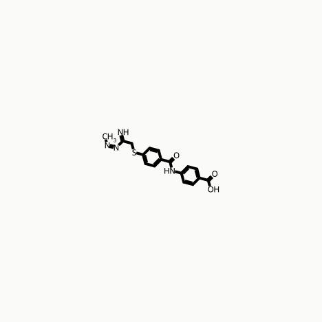 C/N=N\C(=N)CSc1ccc(C(=O)Nc2ccc(C(=O)O)cc2)cc1